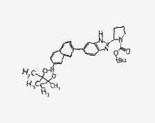 CC(C)(C)OC(=O)N1CCCC1c1nc2ccc(-c3ccc4ccc(B5OC(C)(C)C(C)(C)O5)cc4c3)cc2[nH]1